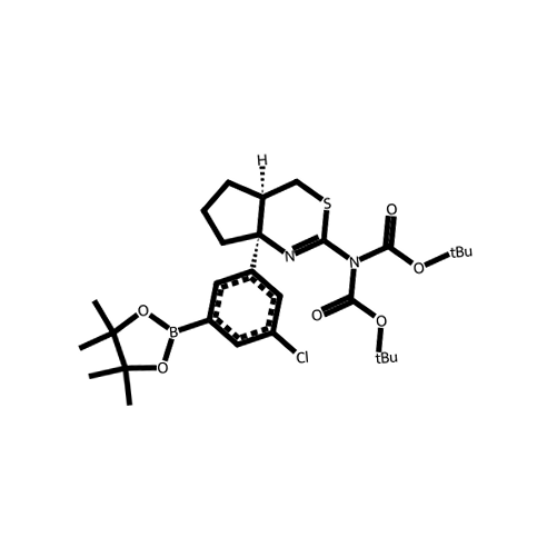 CC(C)(C)OC(=O)N(C(=O)OC(C)(C)C)C1=N[C@@]2(c3cc(Cl)cc(B4OC(C)(C)C(C)(C)O4)c3)CCC[C@H]2CS1